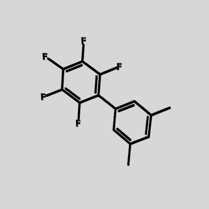 Cc1cc(C)cc(-c2c(F)c(F)c(F)c(F)c2F)c1